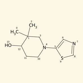 CC1(C)CN(c2cncs2)CCC1O